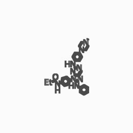 CCC(=O)Nc1ccc(-n2c(Nc3ccccc3)nc3cnc(Nc4ccc(N5CCN(C)CC5)cc4)nc32)cc1